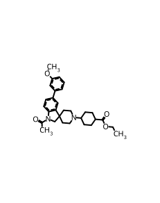 CCOC(=O)C1CCC(N2CCC3(CC2)CN(C(C)=O)c2ccc(-c4cccc(OC)c4)cc23)CC1